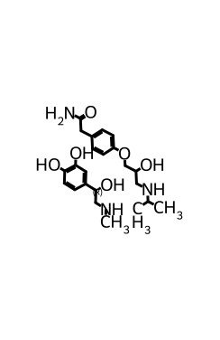 CC(C)NCC(O)COc1ccc(CC(N)=O)cc1.CNC[C@H](O)c1ccc(O)c(O)c1